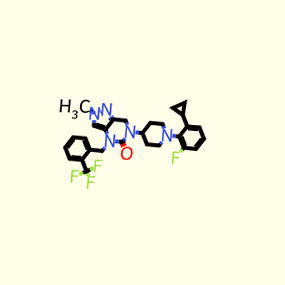 Cn1cc2c(n1)CN(C1CCN(c3c(F)cccc3C3CC3)CC1)C(=O)N2Cc1ccccc1C(F)(F)F